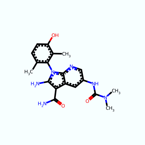 Cc1ccc(O)c(C)c1-n1c(N)c(C(N)=O)c2cc(NC(=O)N(C)C)cnc21